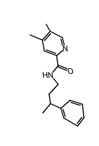 Cc1cnc(C(=O)NCCC(C)c2ccccc2)cc1C